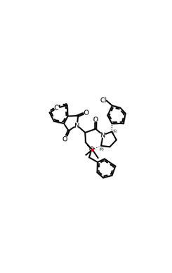 CC(C)(C)[C@H]1CC[C@@H](c2cccc(Cl)c2)N1C(=O)C(COCc1ccccc1)N1C(=O)c2ccccc2C1=O